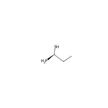 CC[C@@H](P)S